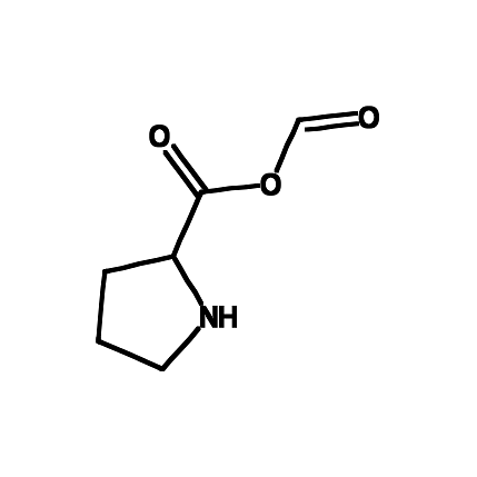 O=COC(=O)C1CCCN1